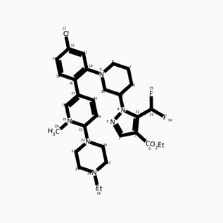 CCOC(=O)c1cnn(C2CCCN(c3cc(Cl)ccc3C3=CN(C)C(N4CCN(CC)CC4)C=C3)C2)c1C(F)F